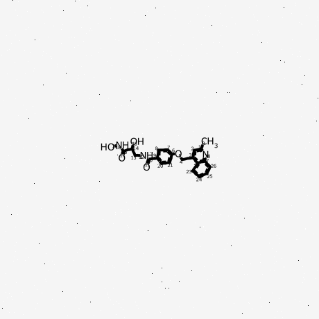 Cc1cc(COc2ccc(C(=O)NCC(O)C(=O)NO)cc2)c2ccccc2n1